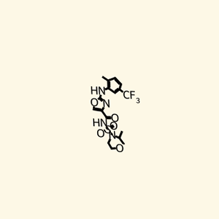 Cc1ccc(C(F)(F)F)cc1Nc1nc(C(=O)NS(=O)(=O)N2CCOCC2C)co1